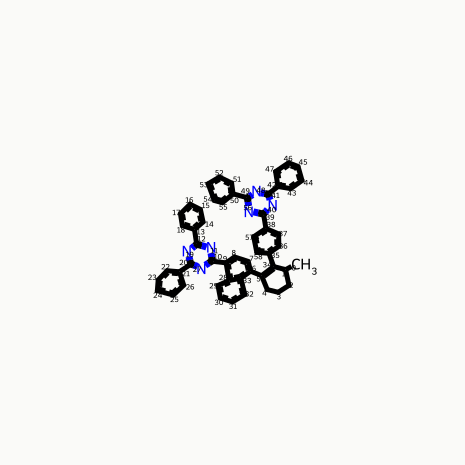 CC1CCCC(c2ccc(-c3nc(-c4ccccc4)nc(-c4ccccc4)n3)c3ccccc23)=C1c1ccc(-c2nc(-c3ccccc3)nc(-c3ccccc3)n2)cc1